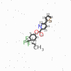 CCC[C@]1(C(F)(F)F)CC[C@@H](OC(=O)c2ccc(-c3cccs3)cn2)CC1